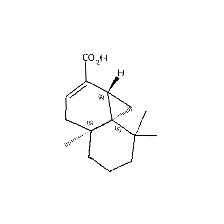 CC1(C)CCC[C@@]2(C)CC=C(C(=O)O)[C@@H]3C[C@]312